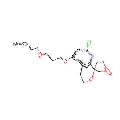 COCCOCCCOc1cc(Cl)nc2c1CCOC21CCOC1